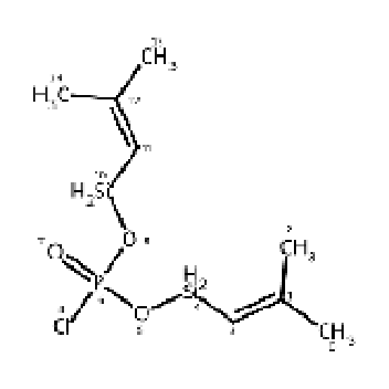 CC(C)=C[SiH2]OP(=O)(Cl)O[SiH2]C=C(C)C